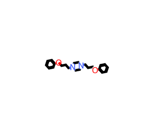 c1ccc(OCCCN2CCN(CCCOc3ccccc3)CC2)cc1